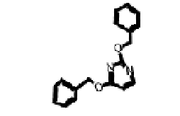 c1ccc(COc2ccnc(OCc3ccccc3)n2)cc1